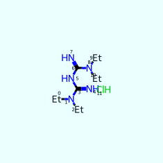 CCN(CC)C(=N)NC(=N)N(CC)CC.Cl